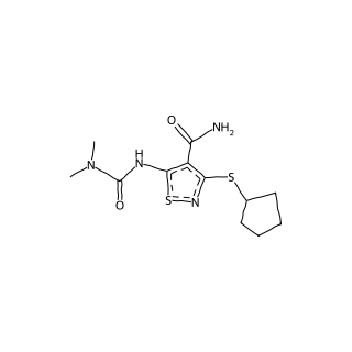 CN(C)C(=O)Nc1snc(SC2CCCC2)c1C(N)=O